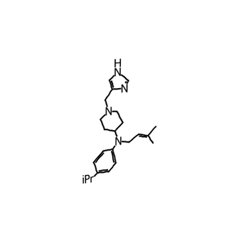 CC(C)=CCN(c1ccc(C(C)C)cc1)C1CCN(Cc2c[nH]cn2)CC1